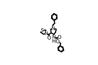 O=C(NC1CCN(CCc2ccccc2)CC1C(=O)N1CCSC1)OCc1ccccc1